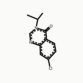 CC(C)n1cnc2cc(Cl)ccc2c1=O